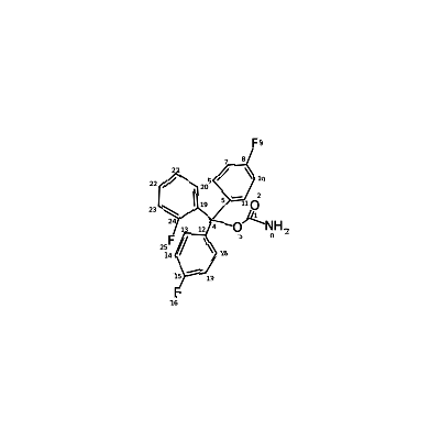 NC(=O)OC(c1ccc(F)cc1)(c1ccc(F)cc1)c1ccccc1F